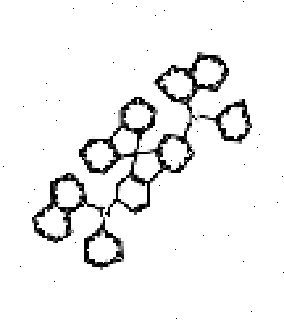 C1=CC(N(c2ccccc2)c2cccc3ccccc23)CC2=C1c1ccc(N(c3ccccc3)c3cccc4ccccc34)cc1C21c2ccccc2-c2ccccc21